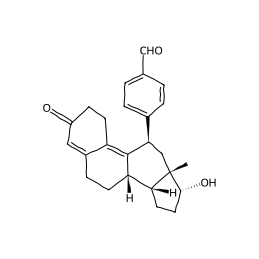 C[C@]12C[C@H](c3ccc(C=O)cc3)C3=C4CCC(=O)C=C4CC[C@H]3[C@H]1CC[C@H]2O